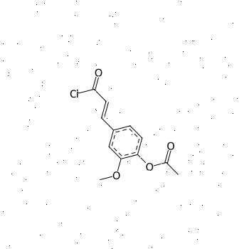 COc1cc(C=CC(=O)Cl)ccc1OC(C)=O